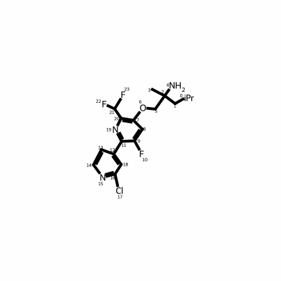 CC(C)CC(C)(N)COc1cc(F)c(-c2ccnc(Cl)c2)nc1C(F)F